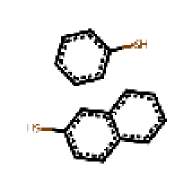 Sc1ccc2ccccc2c1.Sc1ccccc1